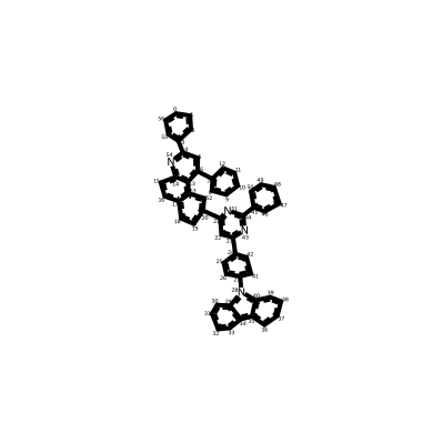 c1ccc(-c2cc(-c3ccccc3)c3c(ccc4ccc(-c5cc(-c6ccc(-n7c8ccccc8c8ccccc87)cc6)nc(-c6ccccc6)n5)cc43)n2)cc1